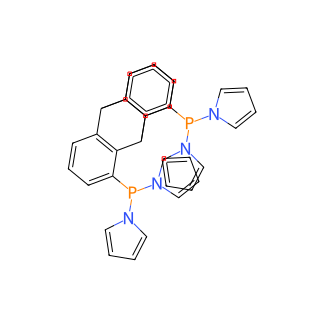 c1ccc2c(c1)C1c3cccc(P(n4cccc4)n4cccc4)c3C2c2c1cccc2P(n1cccc1)n1cccc1